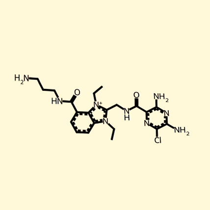 CCn1c(CNC(=O)c2nc(Cl)c(N)nc2N)[n+](CC)c2c(C(=O)NCCCN)cccc21